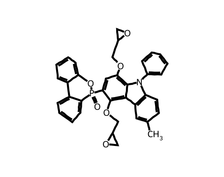 Cc1ccc2c(c1)c1c(OCC3CO3)c(P3(=O)Oc4ccccc4-c4ccccc43)cc(OCC3CO3)c1n2-c1ccccc1